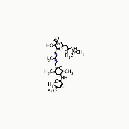 CC(=O)O[C@@H](C)/C=C\C(=O)N[C@@H]1C[C@H](C)[C@H](C/C=C(C)/C=C/[C@H]2O[C@H](CC(=O)NN(C)C)C[C@@]3(CO3)[C@@H]2O)O[C@@H]1C